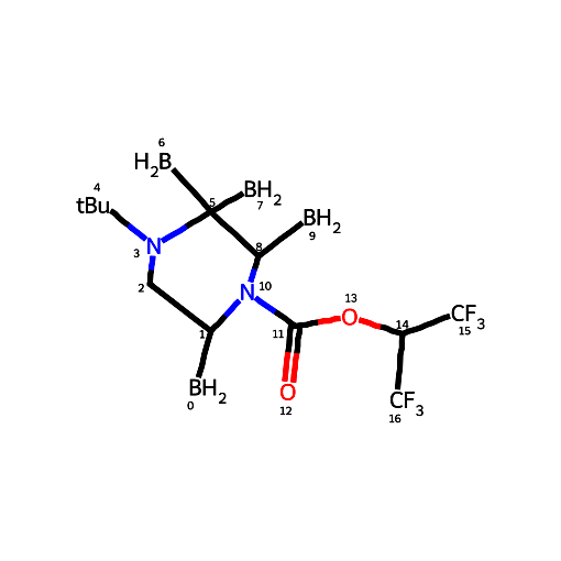 BC1CN(C(C)(C)C)C(B)(B)C(B)N1C(=O)OC(C(F)(F)F)C(F)(F)F